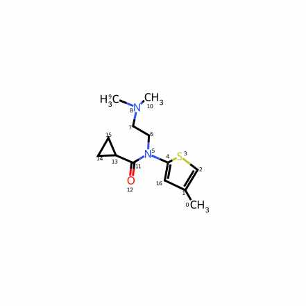 Cc1csc(N(CCN(C)C)C(=O)C2CC2)c1